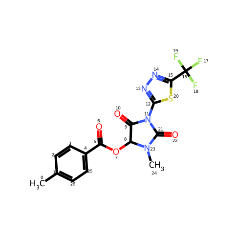 Cc1ccc(C(=O)OC2C(=O)N(c3nnc(C(F)(F)F)s3)C(=O)N2C)cc1